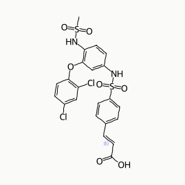 CS(=O)(=O)Nc1ccc(NS(=O)(=O)c2ccc(/C=C/C(=O)O)cc2)cc1Oc1ccc(Cl)cc1Cl